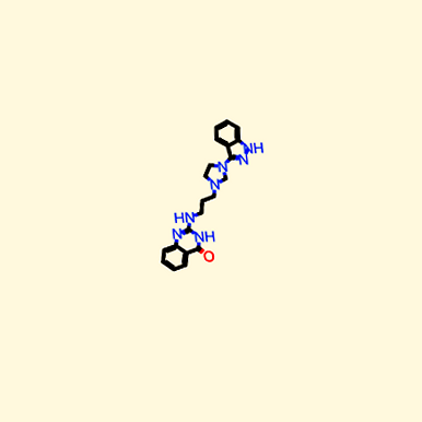 O=c1[nH]c(NCCCN2CCN(c3n[nH]c4ccccc34)C2)nc2ccccc12